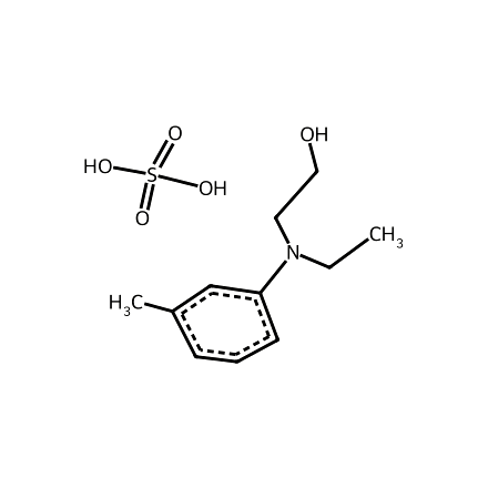 CCN(CCO)c1cccc(C)c1.O=S(=O)(O)O